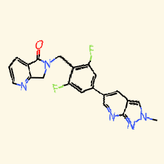 Cn1cc2cc(-c3cc(F)c(CN4Cc5ncccc5C4=O)c(F)c3)cnc2n1